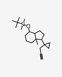 C#CCC1(C2CCC3C(O[Si](C)(C)C(C)(C)C)CCCC32C)CC1